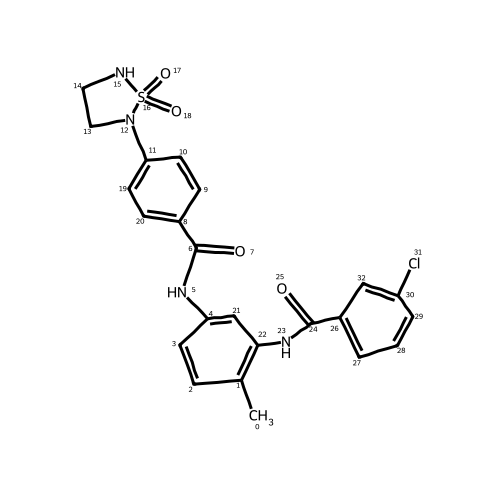 Cc1ccc(NC(=O)c2ccc(N3CCNS3(=O)=O)cc2)cc1NC(=O)c1cccc(Cl)c1